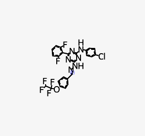 Fc1cccc(F)c1-c1nc(N/N=C/c2ccc(OC(F)(F)C(F)F)cc2)nc(Nc2ccc(Cl)cc2)n1